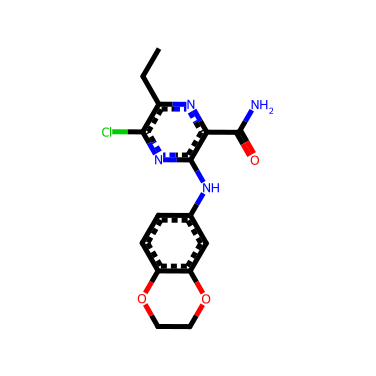 CCc1nc(C(N)=O)c(Nc2ccc3c(c2)OCCO3)nc1Cl